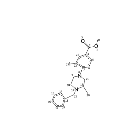 COC(=O)c1ccc(N2CCN(Cc3ccccc3)C(C)C2)c(I)c1